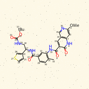 COc1cc2[nH]c(=O)c(C(=O)Nc3cc(C(=O)NC(CNC(=O)OC(C)(C)C)c4ccsc4)ccc3C)cc2cn1